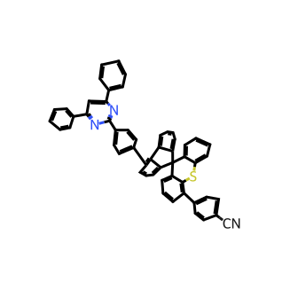 N#Cc1ccc(-c2cccc3c2Sc2ccccc2C32c3ccccc3-c3c(-c4ccc(-c5nc(-c6ccccc6)cc(-c6ccccc6)n5)cc4)cccc32)cc1